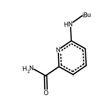 CCC(C)Nc1cc[c]c(C(N)=O)n1